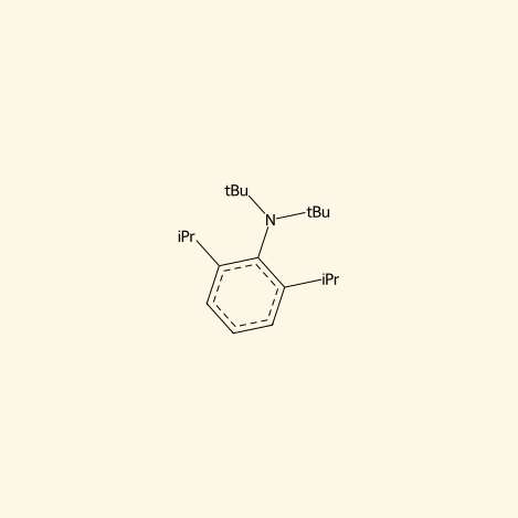 CC(C)c1cccc(C(C)C)c1N(C(C)(C)C)C(C)(C)C